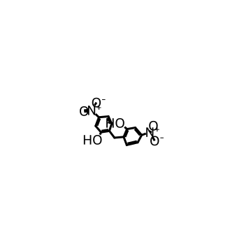 O=[N+]([O-])c1ccc(Cc2ccc([N+](=O)[O-])cc2O)c(O)c1